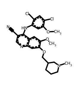 COc1cc(Nc2c(C#N)cnc3cc(OCC4CCCN(C)C4)c(OC)cc23)c(Cl)cc1Cl